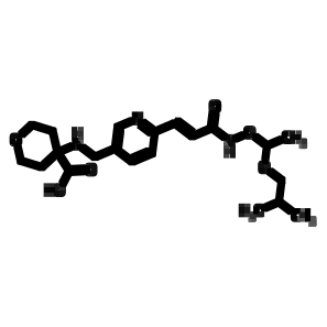 CC(C)COC(C)ONC(=O)/C=C/c1ccc(CNC2(C(=O)O)CCOCC2)cn1